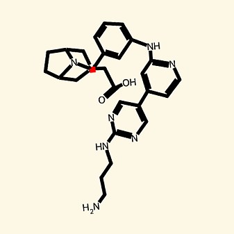 NCCCNc1ncc(-c2ccnc(Nc3cccc(CN4C5CCC4CN(CC(=O)O)C5)c3)c2)cn1